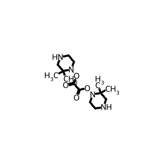 CC1(C)CNCCN1OC(=O)C(=O)ON1CCNCC1(C)C